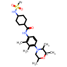 Cc1c(NC(=O)C2CCC(NS(=O)(=O)C(C)C)CC2)ccc(N2CC(C)O[C@H](C)C2C)c1C